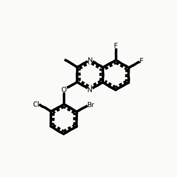 Cc1nc2c(F)c(F)ccc2nc1Oc1c(Cl)cccc1Br